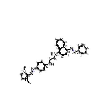 Cn1cc[n+](C)c1/N=N/c1ccc(NCCNc2ccc(/N=N/c3cccnc3)c3ccccc23)cc1